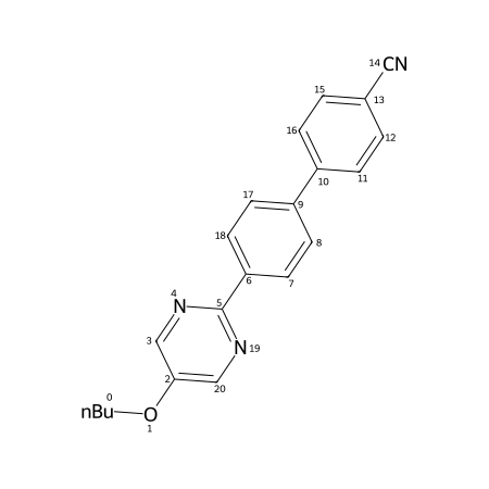 CCCCOc1cnc(-c2ccc(-c3ccc(C#N)cc3)cc2)nc1